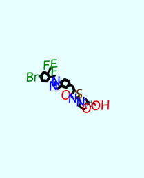 O=C1N=C(N2CCO[C@@H](CO)C2)SC1=Cc1ccc2c(cnn2Cc2ccc(Br)cc2C(F)(F)F)c1